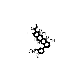 CCC(=O)C1=C(O)C[C@@H]2C[C@@H]3CC4C(C5C=C(/C=N/OC)C(OC)CC5)C=CC(O)C4C(=O)C3C(O)[C@]2(O)C1=O